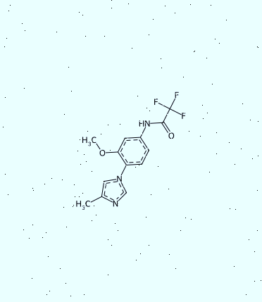 COc1cc(NC(=O)C(F)(F)F)ccc1-n1cnc(C)c1